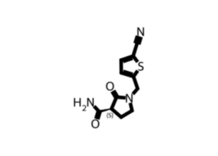 N#Cc1ccc(CN2CC[C@@H](C(N)=O)C2=O)s1